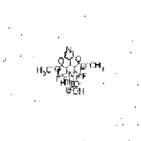 CCOC(=O)C1=C(C(F)(F)F)NC(C(F)(F)F)=C(C(=O)OCC)C1c1ccncc1.O=S(=O)(O)O